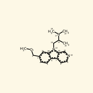 COCc1ccc2c3ccncc3n(CC(C)N(C)C)c2c1